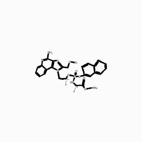 CCCCOC(=O)[C@H](C)NP(=O)(Oc1ccc2ccccc2c1)O[C@H](C)Cn1c(COCC)nc2c(N)nc3ccccc3c21